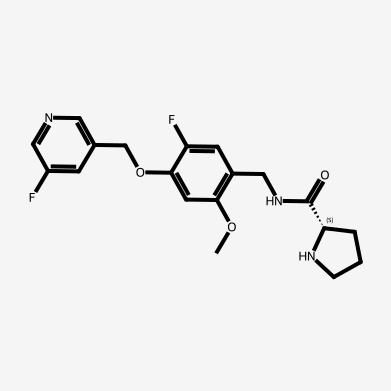 COc1cc(OCc2cncc(F)c2)c(F)cc1CNC(=O)[C@@H]1CCCN1